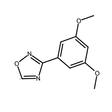 COc1cc(OC)cc(-c2n[c]on2)c1